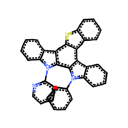 c1ccc(-n2c3ccccc3c3c4c5ccccc5sc4c4c5ccccc5n(-c5ccccn5)c4c32)cc1